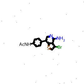 CC(=O)Nc1ccc(-c2cnc(N)c3c(Br)csc23)cc1